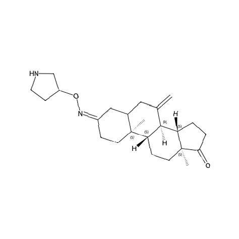 C=C1CC2CC(=NOC3CCNC3)CC[C@]2(C)[C@H]2CC[C@]3(C)C(=O)CC[C@H]3[C@H]12